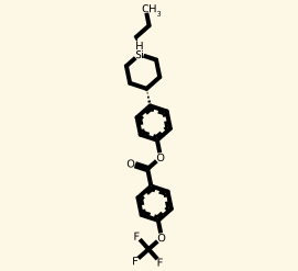 CCC[Si@H]1CC[C@H](c2ccc(OC(=O)c3ccc(OC(F)(F)F)cc3)cc2)CC1